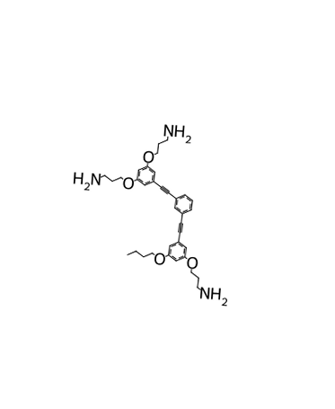 CCCCOc1cc(C#Cc2cccc(C#Cc3cc(OCCCN)cc(OCCCN)c3)c2)cc(OCCCN)c1